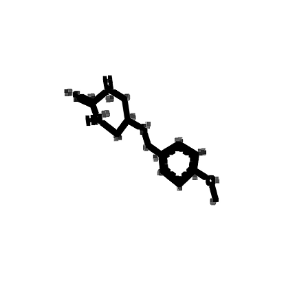 COc1ccc(CSC2CNC(=S)NC2)cc1